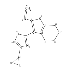 C=Nc1sc2c(c1-c1nc(C3CC3)no1)CCCC2